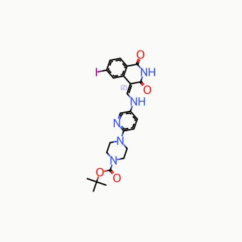 CC(C)(C)OC(=O)N1CCN(c2ccc(N/C=C3\C(=O)NC(=O)c4ccc(I)cc43)cn2)CC1